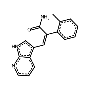 Cc1ccccc1C(=Cc1c[nH]c2ncccc12)C(N)=O